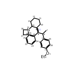 CCOc1ccc(C(C)/C(=C2\CCCCC2N2CCC2)c2ccccc2)cc1